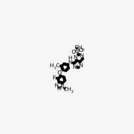 Cc1cc(Nc2ncnc3cnc(S(C)(=O)=O)nc23)ccc1Oc1ccc2c(nnn2C)c1F